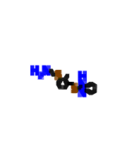 Cc1c(CSc2nc3ccccc3[nH]2)cccc1SCCN